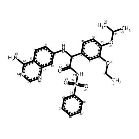 CCOc1cc(C(Nc2ccc3c(N)ncnc3c2)C(=O)NS(=O)(=O)c2ccccc2)ccc1OC(C)C